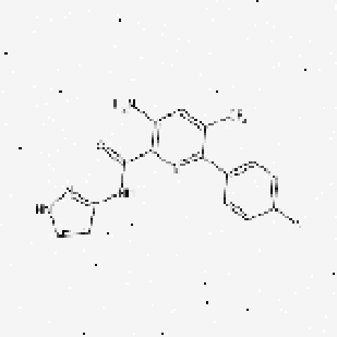 Nc1cc(C(F)(F)F)c(-c2ccc(F)cc2)nc1C(=O)Nc1cc[nH]n1